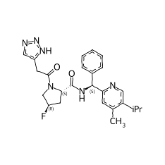 Cc1cc([C@@H](NC(=O)[C@@H]2C[C@@H](F)CN2C(=O)Cc2cnn[nH]2)c2ccccc2)ncc1C(C)C